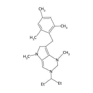 CCC(CC)N1C=C2C(=C(Cc3c(C)cc(C)cc3C)CN2C)N(C)C1